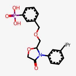 CC(C)c1cccc(N2C(=O)COC2COCc2cccc(P(=O)(O)O)c2)c1